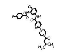 CC(C)CC(=O)N1CCN(c2ccc(C(=O)Nc3ccc(Cl)c(NC(=O)c4ccc(F)cc4)c3)cn2)CC1